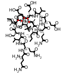 CC[C@H](C)[C@H](NC(=O)[C@H](C)NC(=O)[C@H](CCC(=O)O)NC(=O)[C@@H](NC(=O)[C@H](CO)NC(=O)[C@@H](NC(=O)[C@H](CCC(N)=O)NC(=O)[C@@H](N)CCC(N)=O)C(C)C)[C@@H](C)CC)C(=O)N[C@@H](CCC(N)=O)C(=O)N[C@@H](CCC(=O)O)C(=O)N[C@H](C(=O)N[C@@H](CCC(=O)O)C(=O)N(C)[C@H](C(=O)N1CCC[C@H]1C(=O)O)C(C)(C)C)C(C)C